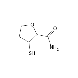 NC(=O)C1OCCC1S